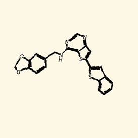 c1ccc2sc(-c3cc4ncnc(NCc5ccc6c(c5)OCO6)c4s3)cc2c1